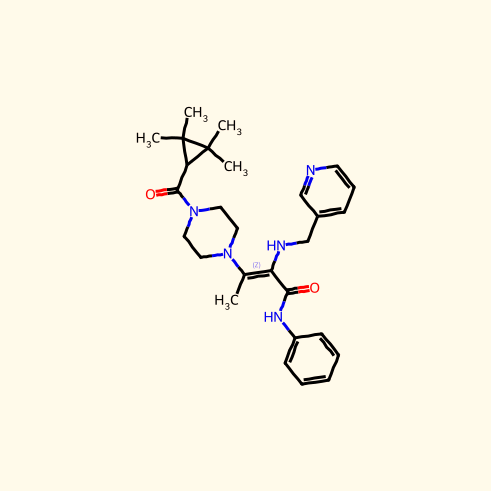 C/C(=C(/NCc1cccnc1)C(=O)Nc1ccccc1)N1CCN(C(=O)C2C(C)(C)C2(C)C)CC1